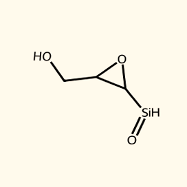 O=[SiH]C1OC1CO